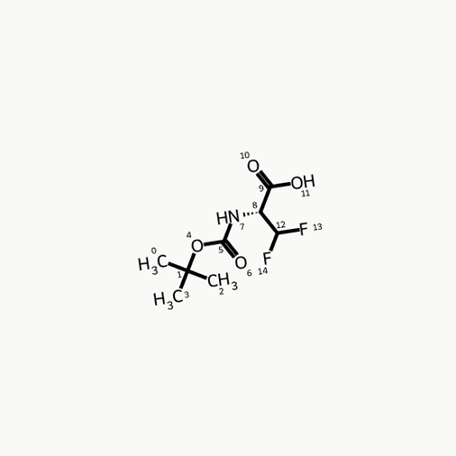 CC(C)(C)OC(=O)N[C@H](C(=O)O)C(F)F